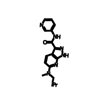 CC(C)CN(C)c1ccc2c(C(=O)Nc3cccnc3)n[nH]c2n1